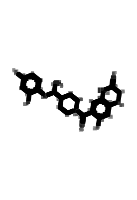 CC(Oc1ccc(F)cc1F)C1CCN(C(=O)c2cc3c(cc2F)OCC(=O)N3)CC1